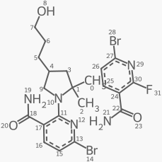 CC1(C)CC(CCCO)CN1c1nc(Br)ccc1C(N)=O.NC(=O)c1ccc(Br)nc1F